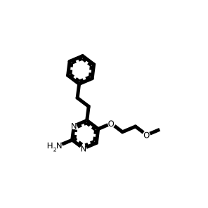 COCCOc1cnc(N)nc1CCc1ccccc1